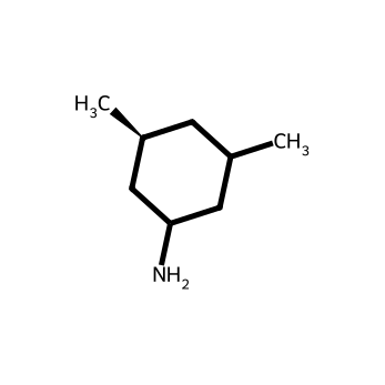 CC1CC(N)C[C@@H](C)C1